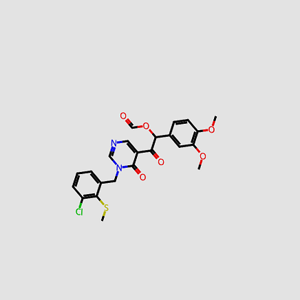 COc1ccc(C(OC=O)C(=O)c2cncn(Cc3cccc(Cl)c3SC)c2=O)cc1OC